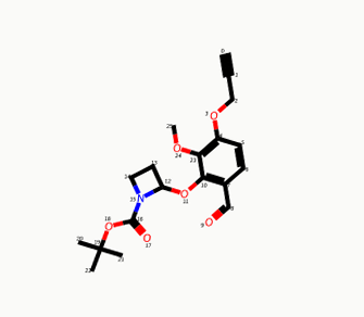 C#CCOc1ccc(C=O)c(OC2CCN2C(=O)OC(C)(C)C)c1OC